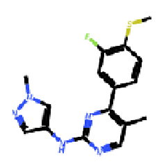 CSc1ccc(-c2nc(Nc3cnn(C)c3)ncc2C)cc1F